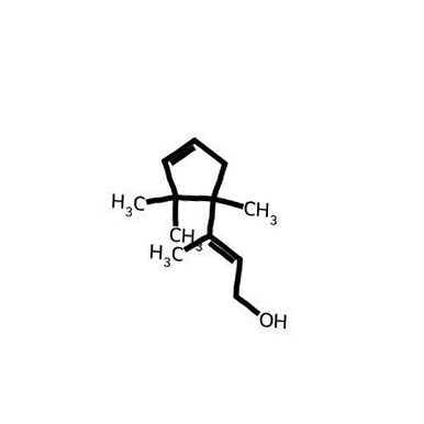 CC(=CCO)C1(C)CC=CC1(C)C